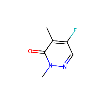 Cc1c(F)cnn(C)c1=O